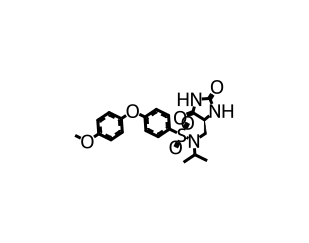 COc1ccc(Oc2ccc(S(=O)(=O)N(C[C@@H]3NC(=O)NC3=O)C(C)C)cc2)cc1